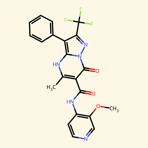 COc1cnccc1NC(=O)c1c(C)[nH]c2c(-c3ccccc3)c(C(F)(F)F)nn2c1=O